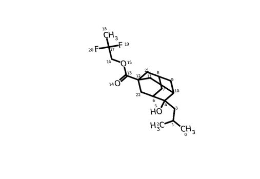 CC(C)CC1(O)C2CC3CC1CC(C(=O)OCC(C)(F)F)(C3)C2